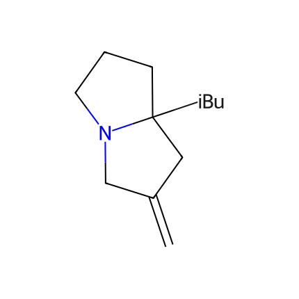 C=C1CN2CCCC2(C(C)CC)C1